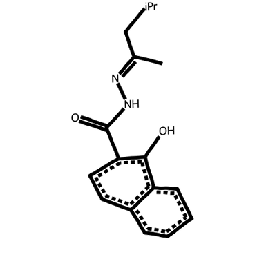 C/C(CC(C)C)=N\NC(=O)c1ccc2ccccc2c1O